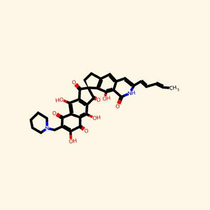 C/C=C/C=C/c1cc2cc3c(c(O)c2c(=O)[nH]1)[C@]1(CC3)C(=O)c2c(O)c3c(c(O)c2C1=O)C(=O)C(CN1CCCCC1)=C(O)C3=O